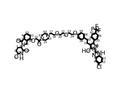 O=C1CCC(N2Cc3c(OCC(=O)N4CCN(CCOCCOCCOc5ccc(CCc6c(-c7ccc(C(F)(F)F)cc7)nn(-c7nc8cc(Cl)ccc8[nH]7)c6O)cc5)CC4)cccc3C2=O)C(=O)N1